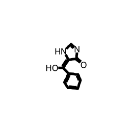 O=C1N=CNC1=C(O)c1ccccc1